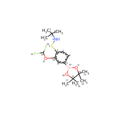 CC(C)(C)NSc1ccc(B2OC(C)(C)C(C)(C)O2)cc1OC(F)F